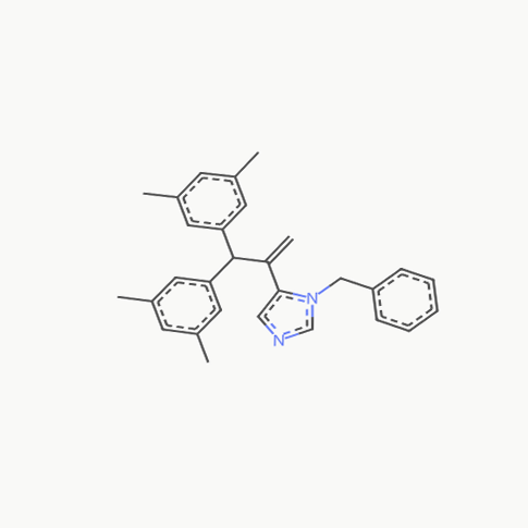 C=C(c1cncn1Cc1ccccc1)C(c1cc(C)cc(C)c1)c1cc(C)cc(C)c1